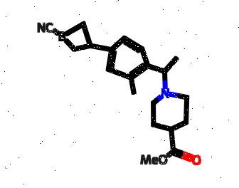 COC(=O)C1CCN(C(C)c2ccc(C3CB(C#N)C3)cc2C)CC1